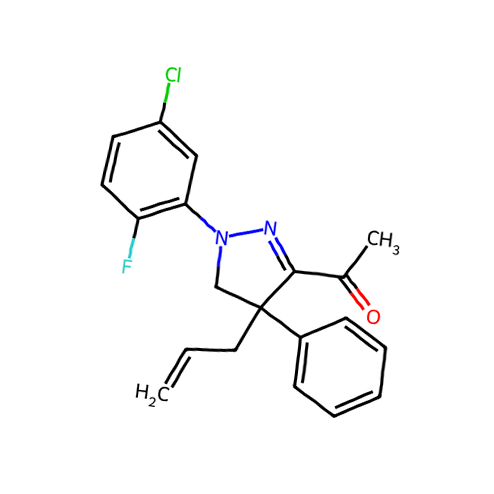 C=CCC1(c2ccccc2)CN(c2cc(Cl)ccc2F)N=C1C(C)=O